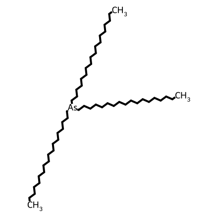 CCCCCCCCCCCCCCCCCC[As](CCCCCCCCCCCCCCCCCC)CCCCCCCCCCCCCCCCCC